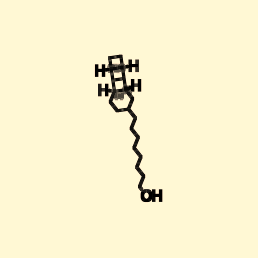 OCCCCCCCCC1CC[C@@H]2C3C([C@H]4CC[C@@H]34)[C@@H]2C1